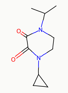 CC(C)N1CCN(C2CC2)C(=O)C1=O